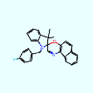 CC1(C)c2ccccc2N(Cc2ccc(F)cc2)C12C=Nc1c(ccc3ccccc13)O2